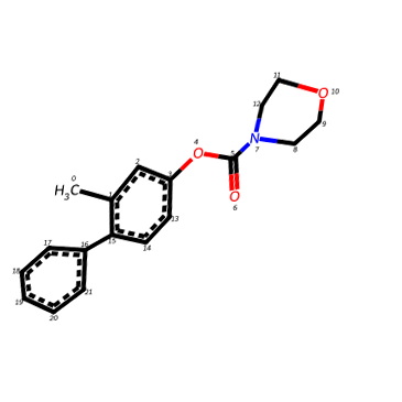 Cc1cc(OC(=O)N2CCOCC2)ccc1-c1ccccc1